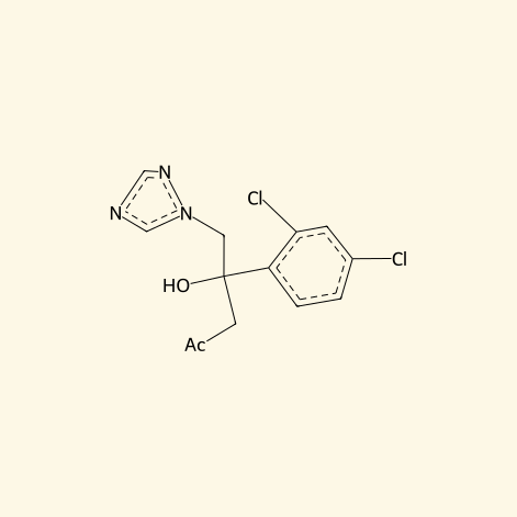 CC(=O)CC(O)(Cn1cncn1)c1ccc(Cl)cc1Cl